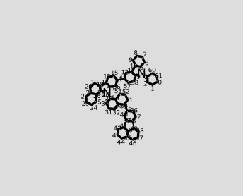 c1ccc(-n2c3ccccc3c3cc(-c4ccc5c6ccc7ccccc7c6n(-c6cccc7c(-c8ccc9c(c8)-c8cccc%10cccc-9c8%10)cccc67)c5c4)ccc32)cc1